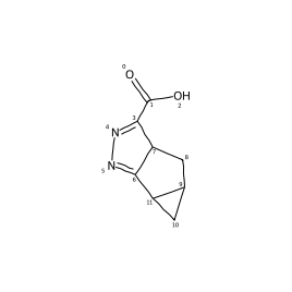 O=C(O)C1=NN=C2C1CC1CC21